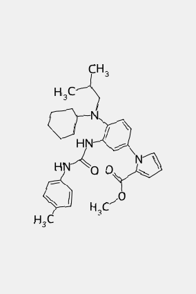 COC(=O)c1cccn1-c1ccc(N(CC(C)C)C2CCCCC2)c(NC(=O)Nc2ccc(C)cc2)c1